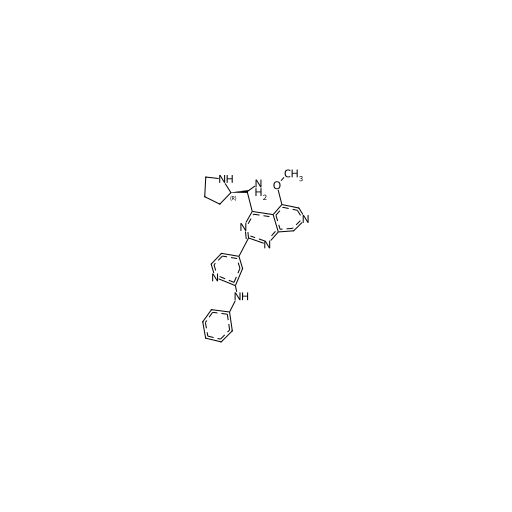 COc1cncc2nc(-c3ccnc(Nc4ccccc4)c3)nc(C(N)[C@H]3CCCN3)c12